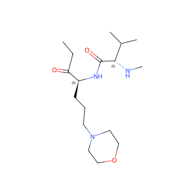 CCC(=O)[C@H](CCCN1CCOCC1)NC(=O)[C@@H](NC)C(C)C